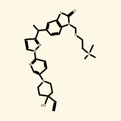 C=CC1(O)CCN(c2ccc(-n3ccc(C(C)c4ccc5c(c4)sc(=O)n5COCC[Si](C)(C)C)n3)nc2)CC1